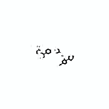 CN(C)C1=N/C(=C(/C=N)c2ccc(Oc3ncc(NC(=O)Nc4cc(C(F)(F)F)ccc4-c4cccnc4)cn3)cc2)NC=C1